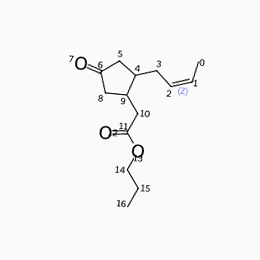 C/C=C\CC1CC(=O)CC1CC(=O)OCCC